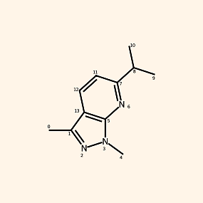 Cc1nn(C)c2nc(C(C)C)ccc12